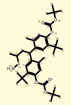 Cc1cc(OC(=O)OC(C)(C)C)c(C(C)(C)C)cc1C(CC(C)SN)c1cc(C(C)(C)C)c(OC(=O)OC(C)(C)C)cc1C